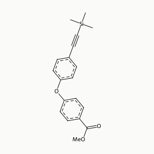 COC(=O)c1ccc(Oc2ccc(C#C[Si](C)(C)C)cc2)cc1